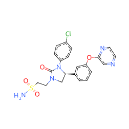 NS(=O)(=O)CCN1C[C@H](c2cccc(Oc3cnccn3)c2)N(c2ccc(Cl)cc2)C1=O